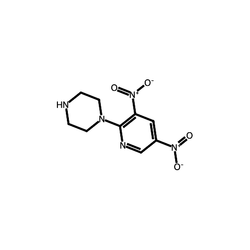 O=[N+]([O-])c1cnc(N2CCNCC2)c([N+](=O)[O-])c1